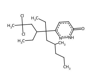 CCCC(C)CC(CC)(c1ccc(=O)[nH]n1)C(CC)CC(C)(Cl)Cl